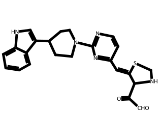 O=CC(=O)C1NCS/C1=C\c1ccnc(N2CCC(c3c[nH]c4ccccc34)CC2)n1